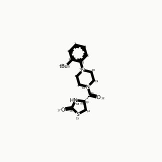 CC(C)(C)c1ccccc1N1CCN(C(=O)[C@@H]2CSC(=O)N2)CC1